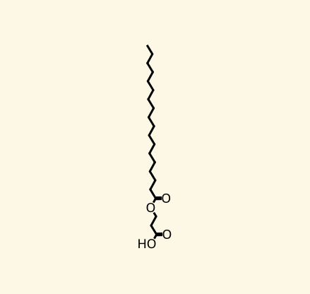 CCCCCCCCCCCCCCCCCC(=O)OCCC(=O)O